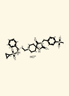 CS(=O)(=O)c1ccc(CN2C(=O)NC3(CCN(CC[C@H](NS(=O)(=O)C4CC4)c4ccccc4)CC3)C2=O)cc1.Cl